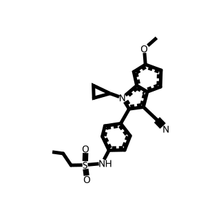 CCCS(=O)(=O)Nc1ccc(-c2c(C#N)c3ccc(OC)cc3n2C2CC2)cc1